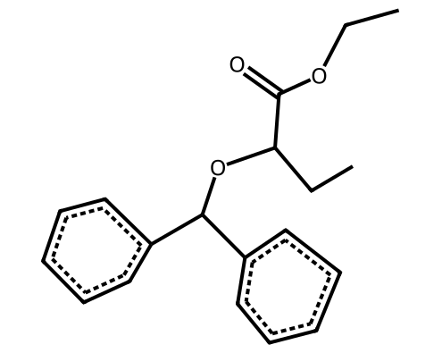 CCOC(=O)C(CC)OC(c1ccccc1)c1ccccc1